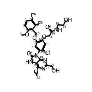 COc1ccc(F)c(F)c1COc1cc(-n2c(=O)[nH]c3c(OC)nc(CO)nc32)c(Cl)cc1OCC(=O)NCCO